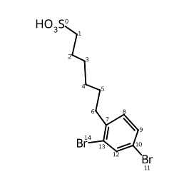 O=S(=O)(O)CCCCCCc1ccc(Br)cc1Br